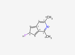 Cc1cc2c(c(C)n1)=CC(I)C=2